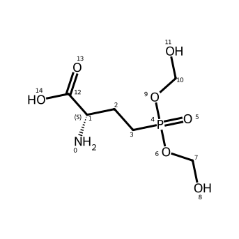 N[C@@H](CCP(=O)(OCO)OCO)C(=O)O